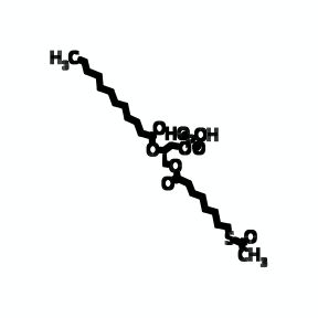 CCCCCCCCCCCC(=O)O[C@H](COC(=O)CCCCCCCSC(C)=O)COP(=O)(O)O